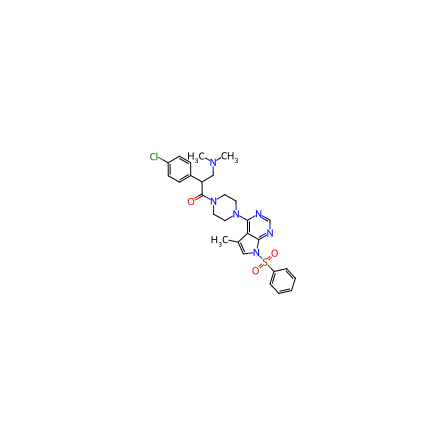 Cc1cn(S(=O)(=O)c2ccccc2)c2ncnc(N3CCN(C(=O)C(CN(C)C)c4ccc(Cl)cc4)CC3)c12